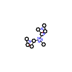 c1ccc(-c2nc(-c3cncc(-c4ccccc4-n4c5ccccc5c5ccccc54)c3)nc(-c3ccc(-n4c5ccccc5c5ccccc54)c(-c4ccccc4)c3)n2)cc1